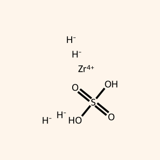 O=S(=O)(O)O.[H-].[H-].[H-].[H-].[Zr+4]